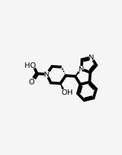 O=C(O)N1CC[C@H]([C@@H]2c3ccccc3-c3cncn32)[C@@H](O)C1